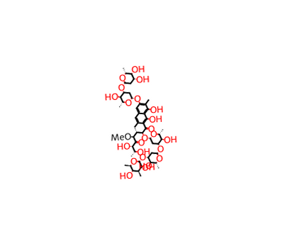 CO[C@H](C(=O)[C@@H](O)[C@@H](C)O)[C@@H]1Cc2cc3cc(O[C@H]4C[C@@H](O[C@H]5C[C@@H](O)[C@H](O)[C@@H](C)O5)[C@H](O)[C@@H](C)O4)c(C)c(O)c3c(O)c2C(=O)[C@H]1O[C@H]1C[C@@H](O[C@H]2C[C@@H](O[C@@H]3O[C@H](C)[C@@H](O)[C@H](C)[C@H]3O)[C@H](O)[C@@H](C)O2)[C@H](O)[C@@H](C)O1